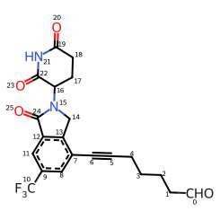 O=CCCCCC#Cc1cc(C(F)(F)F)cc2c1CN(C1CCC(=O)NC1=O)C2=O